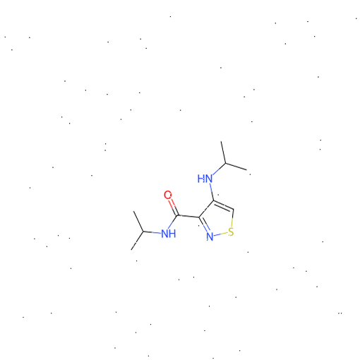 CC(C)NC(=O)c1nscc1NC(C)C